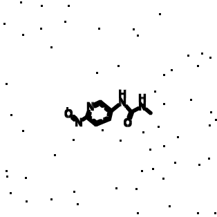 CNC(=O)Nc1ccc(N=O)nc1